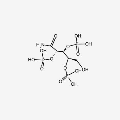 NC(=O)[C@@H](OP(=O)(O)O)[C@@H](OP(=O)(O)O)[C@@H](CO)OP(=O)(O)O